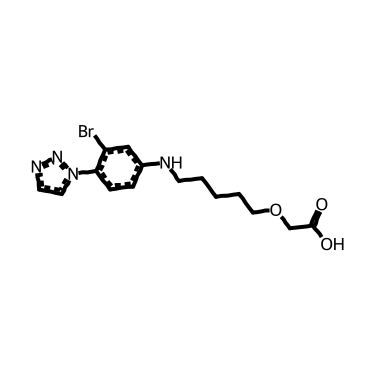 O=C(O)COCCCCCNc1ccc(-n2ccnn2)c(Br)c1